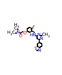 CCN(CC)C(=O)COc1ccc(F)c(CNc2cc(-c3ccc4ncsc4c3)nc(C)n2)c1